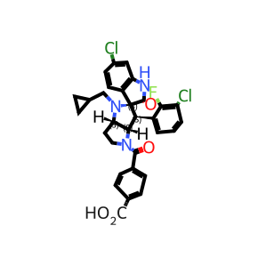 O=C(O)c1ccc(C(=O)N2CC[C@H]3[C@@H]2[C@H](c2cccc(Cl)c2F)[C@]2(C(=O)Nc4cc(Cl)ccc42)N3CC2CC2)cc1